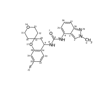 Cn1cc2c(NC(=O)NC3CC4(CCOCC4)Oc4cc(F)ccc43)cccc2n1